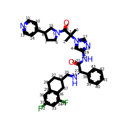 CC(C)(C(=O)N1CCC(c2ccncc2)C1)n1cnc(NC(=O)[C@@H](NCC2CCc3cc(F)cc(F)c3C2)c2ccccc2)c1